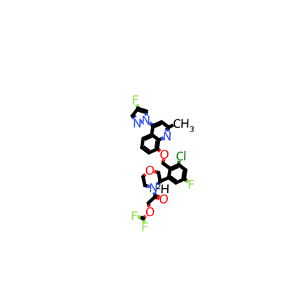 [2H][C@@]1(c2cc(F)cc(Cl)c2COc2cccc3c(-n4cc(F)cn4)cc(C)nc23)COCCN1C(=O)COC(F)F